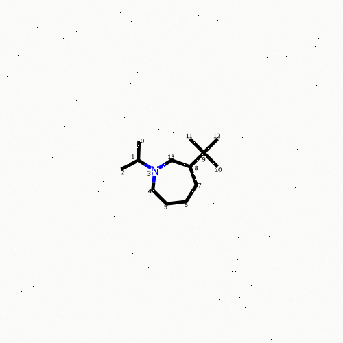 CC(C)N1CCCCC(C(C)(C)C)C1